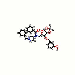 COc1cccc(COC2C(CN(C(=O)c3ccccc3)C3CCN(Cc4ccccc4)C3)OC3OC(C)(C)OC32)c1